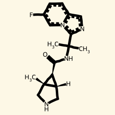 CC(C)(NC(=O)[C@H]1[C@@H]2CNC[C@@]21C)c1ncc2ccc(F)cn12